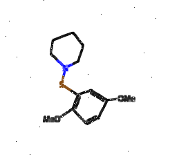 COc1ccc(OC)c(SN2CCCCC2)c1